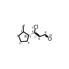 CC1CCC[C@H]1/C(Cl)=C/C=O